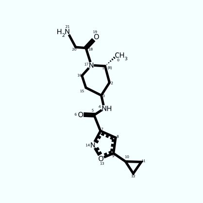 C[C@@H]1CC(NC(=O)c2cc(C3CC3)on2)CCN1C(=O)CN